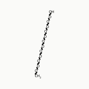 C=CCOCCOCCOCCOCCOCCOCCOCCOCCOCCOCCOCCOCCO